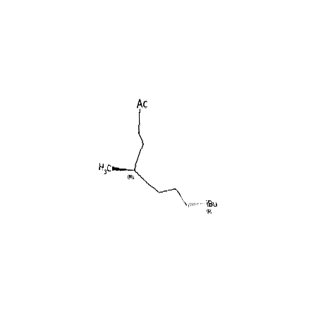 CC[C@@H](C)CCC[C@@H](C)CCC(C)=O